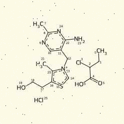 CCC(Cl)C(=O)O.Cc1ncc(C[n+]2csc(CCO)c2C)c(N)n1.Cl